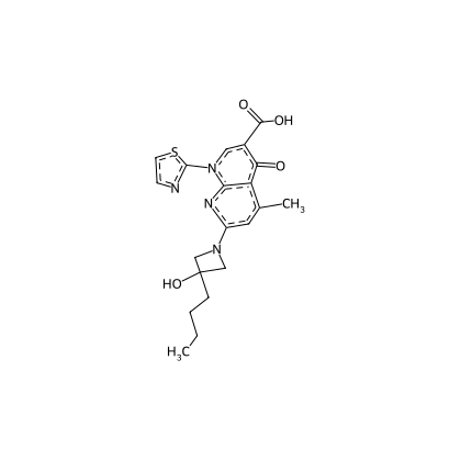 CCCCC1(O)CN(c2cc(C)c3c(=O)c(C(=O)O)cn(-c4nccs4)c3n2)C1